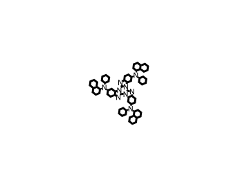 c1ccc(N(c2ccc3nc4n(c3c2)c2nc3ccc(N(c5ccccc5)c5cccc6ccccc56)cc3n2c2nc3ccc(N(c5ccccc5)c5cccc6ccccc56)cc3n42)c2cccc3ccccc23)cc1